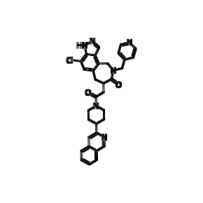 O=C(CC1Cc2cc(Cl)c3[nH]ncc3c2CN(Cc2ccncc2)C1=O)N1CCC(c2cc3ccccc3cn2)CC1